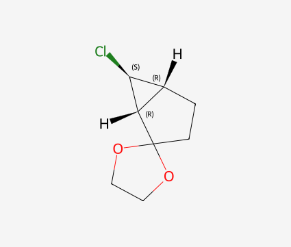 Cl[C@H]1[C@@H]2CCC3(OCCO3)[C@H]12